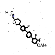 C/C=C/C1CCC(c2ccc(-c3ccc(-c4ccc(OC)c(F)c4F)cc3)c(F)c2)CO1